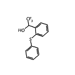 OC(c1ccccc1Sc1ccccc1)C(F)(F)F